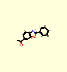 CC(=O)c1ccc2nc(-c3ccccc3)oc2c1